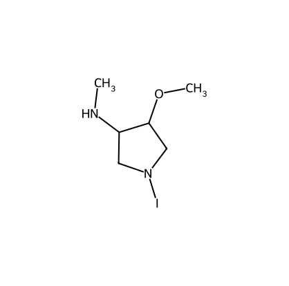 CNC1CN(I)CC1OC